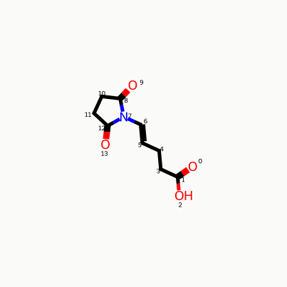 O=C(O)CCC=CN1C(=O)CCC1=O